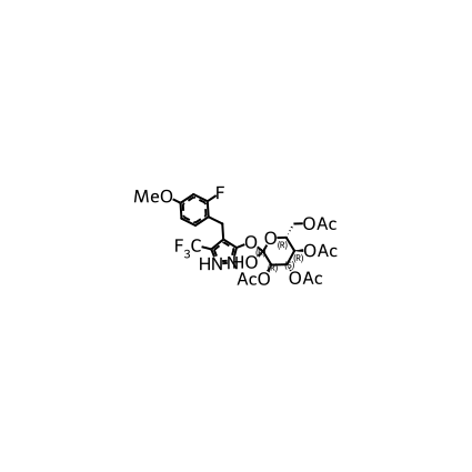 COc1ccc(Cc2c(O[C@]3(O)O[C@H](COC(C)=O)[C@@H](OC(C)=O)[C@H](OC(C)=O)[C@H]3OC(C)=O)n[nH]c2C(F)(F)F)c(F)c1